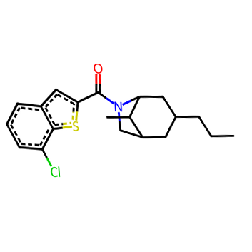 CCCC1CC2CN(C(=O)c3cc4cccc(Cl)c4s3)C(C1)C2C